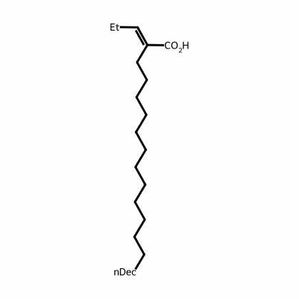 CCC=C(CCCCCCCCCCCCCCCCCCCCCC)C(=O)O